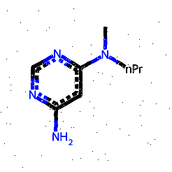 CCCN(C)c1cc(N)ncn1